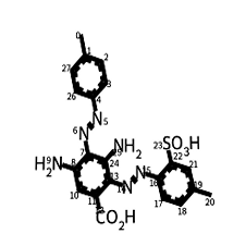 Cc1ccc(N=Nc2c(N)cc(C(=O)O)c(N=Nc3ccc(C)cc3S(=O)(=O)O)c2N)cc1